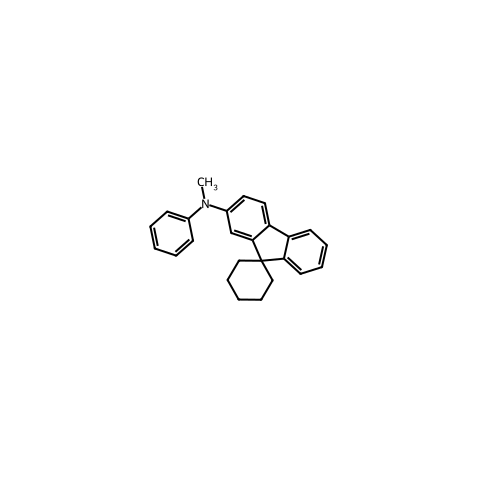 CN(c1ccccc1)c1ccc2c(c1)C1(CCCCC1)c1ccccc1-2